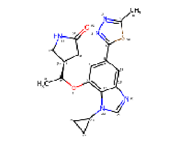 Cc1nnc(-c2cc(OC(C)[C@H]3CNC(=O)C3)c3c(c2)ncn3C2CC2)s1